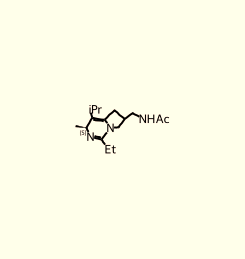 CCC1=N[C@@H](C)C(C(C)C)=C2CC(CNC(C)=O)CN12